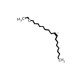 [CH2]COCCCCCCCC/C=C\CCCCCCCC